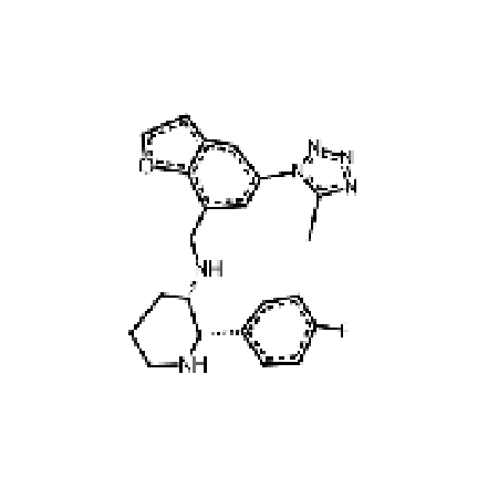 Cc1nnnn1-c1cc(CN[C@H]2CCCN[C@H]2c2ccc(F)cc2)c2occc2c1